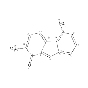 O=C1C2=Cc3cccc([N+](=O)[O-])c3C2=CC=C1[N+](=O)[O-]